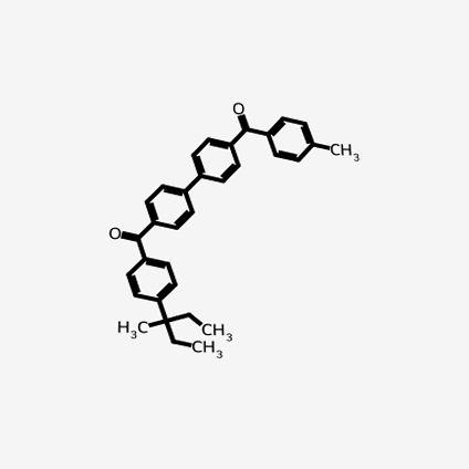 CCC(C)(CC)c1ccc(C(=O)c2ccc(-c3ccc(C(=O)c4ccc(C)cc4)cc3)cc2)cc1